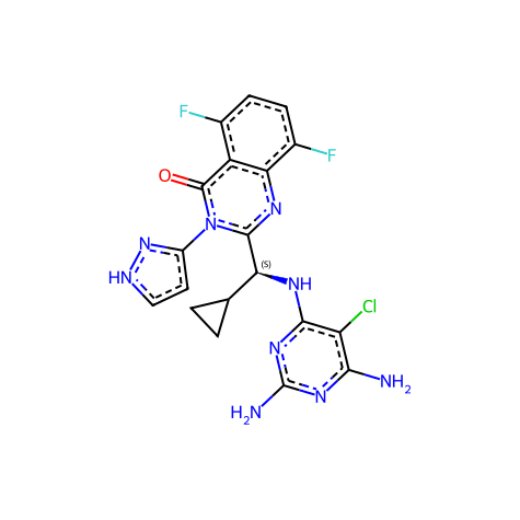 Nc1nc(N)c(Cl)c(N[C@H](c2nc3c(F)ccc(F)c3c(=O)n2-c2cc[nH]n2)C2CC2)n1